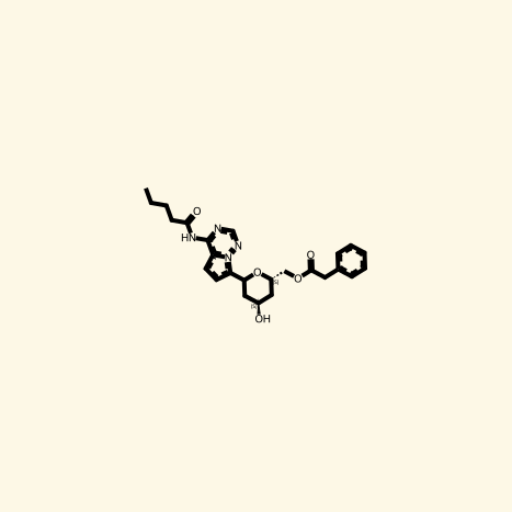 CCCCC(=O)Nc1ncnn2c(C3C[C@H](O)C[C@@H](COC(=O)Cc4ccccc4)O3)ccc12